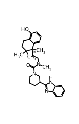 CN(CC[C@@]1(C)c2cccc(O)c2CCC1(C)C)C(=O)N1CCCC(c2nc3ccccc3[nH]2)C1